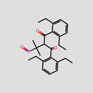 CCc1cccc(CC)c1C(=O)C(C(=O)c1c(CC)cccc1CC)C(C)(C)P=O